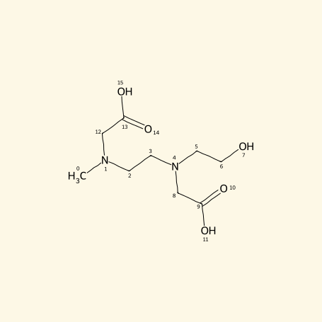 CN(CCN(CCO)CC(=O)O)CC(=O)O